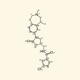 CC1CN(C)CCc2ccc(N3CC(CNC(=O)c4ccc(Cl)s4)OC3=O)cc21